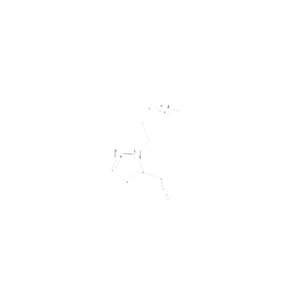 COCCn1nccc1CBr